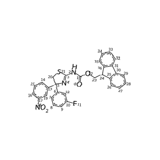 O=C(NC1=NC(c2cccc(F)c2)(c2cccc([N+](=O)[O-])c2)CS1)OCC1c2ccccc2-c2ccccc21